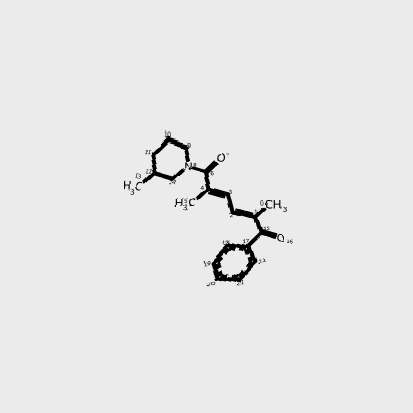 C/C(=C\C=C(/C)C(=O)N1CCCC(C)C1)C(=O)c1ccccc1